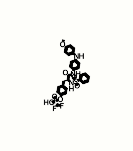 COc1ccc(Nc2ccc(NC(=O)[C@H](Cc3ccc(OP(=O)(O)C(F)F)cc3)NS(=O)(=O)c3ccccc3)cc2)cc1